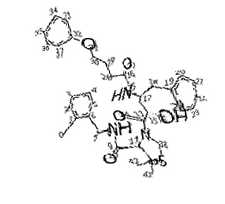 Cc1ccccc1CNC(=O)[C@H]1N(C(=O)[C@@H](O)[C@H](Cc2ccccc2)NC(=O)CCCOc2ccccc2)CSC1(C)C